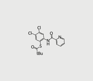 CC(C)(C)C(=O)Sc1cc(Cl)c(Cl)cc1NC(=O)c1ccccn1